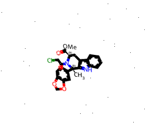 COC(=O)[C@H]1Cc2c([nH]c3ccccc23)[C@@](C)(c2ccc3c(c2)OCO3)N1C(=O)CCl